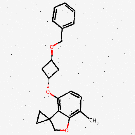 Cc1ccc(O[C@H]2C[C@H](OCc3ccccc3)C2)c2c1OCC21CC1